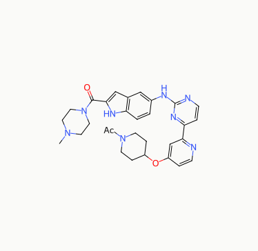 CC(=O)N1CCC(Oc2ccnc(-c3ccnc(Nc4ccc5[nH]c(C(=O)N6CCN(C)CC6)cc5c4)n3)c2)CC1